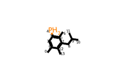 Cc1cc(P)c(C)c(CC(C)C)c1C